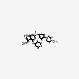 CN1CCN(c2ccc(Nc3nc(OC4CCOCC4)c4c(C=O)c[nH]c4n3)cc2)CC1